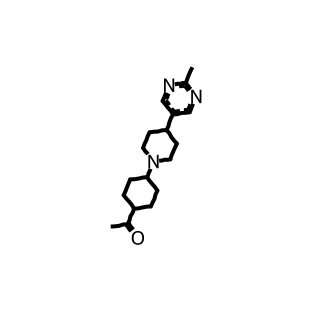 CC(=O)C1CCC(N2CCC(c3cnc(C)nc3)CC2)CC1